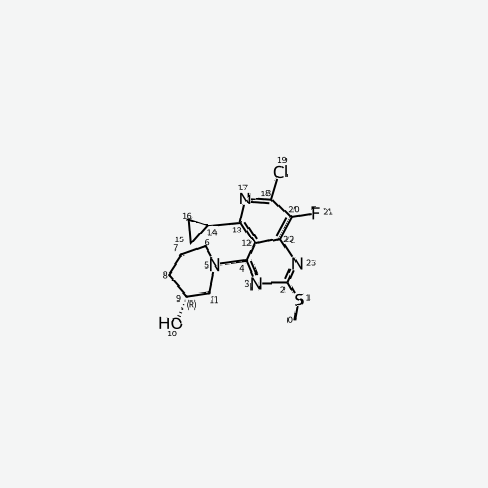 CSc1nc(N2CCC[C@@H](O)C2)c2c(C3CC3)nc(Cl)c(F)c2n1